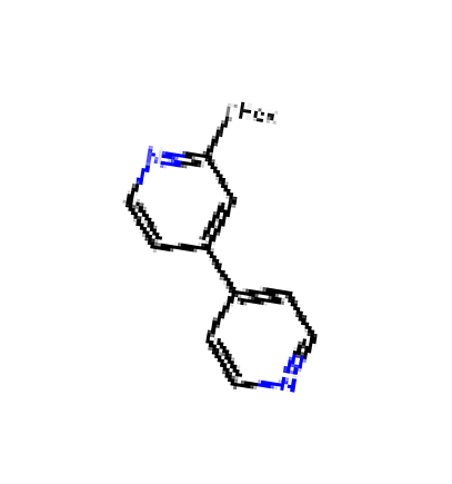 CCCCCCc1cc(-c2ccncc2)ccn1